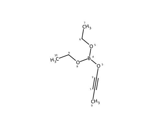 CC#COB(OCC)OCC